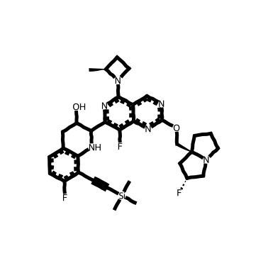 C[C@H]1CCN1c1nc(C2Nc3c(ccc(F)c3C#C[Si](C)(C)C)CC2O)c(F)c2nc(OC[C@@]34CCCN3C[C@H](F)C4)ncc12